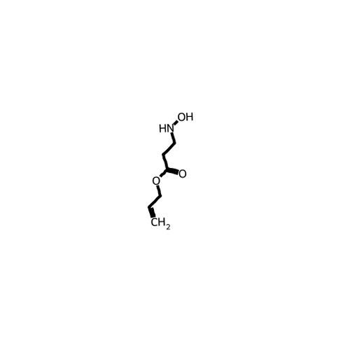 C=CCOC(=O)CCNO